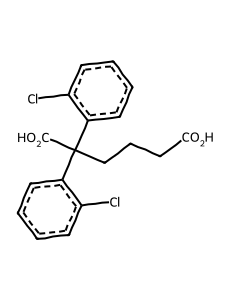 O=C(O)CCCC(C(=O)O)(c1ccccc1Cl)c1ccccc1Cl